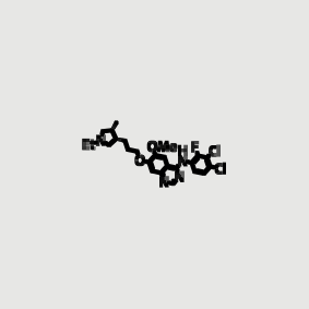 CCN1C[C@H](CCCOc2cc3ncnc(Nc4ccc(Cl)c(Cl)c4F)c3cc2OC)[C@H](C)C1